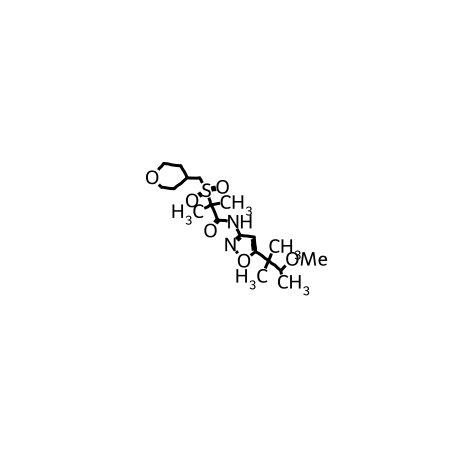 COC(C)C(C)(C)c1cc(NC(=O)C(C)(C)S(=O)(=O)CC2CCOCC2)no1